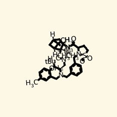 Cc1ccc(O)c(CN(Cc2cccc(CN3C(C(=O)N[C@H]4C[C@H]5C[C@@H]([C@@H]4C)C5(C)C)CCS3(=O)=O)c2)[C@H](CN(C)C)CC(C)(C)C)c1